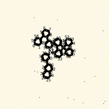 c1ccc(-c2ccccc2-c2ccc(N(c3cccc(-c4ccc5ccccc5c4)c3)c3cccc4c3-c3ccccc3C4(c3ccccc3)c3ccccc3)cc2)cc1